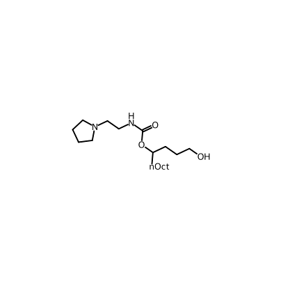 CCCCCCCCC(CCCO)OC(=O)NCCN1CCCC1